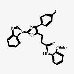 COc1ccccc1NC(=O)CCc1oc(-n2cnc3ccccc32)nc1-c1ccc(Cl)cc1